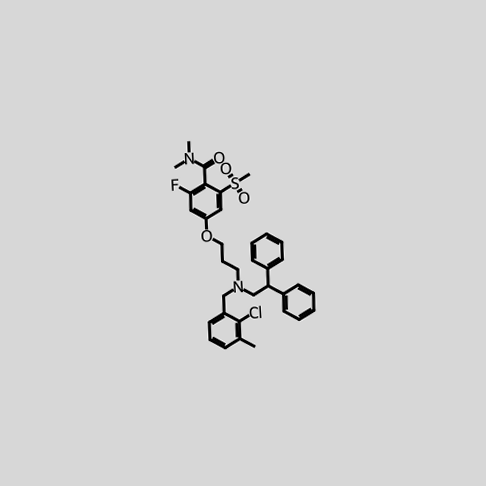 Cc1cccc(CN(CCCOc2cc(F)c(C(=O)N(C)C)c(S(C)(=O)=O)c2)CC(c2ccccc2)c2ccccc2)c1Cl